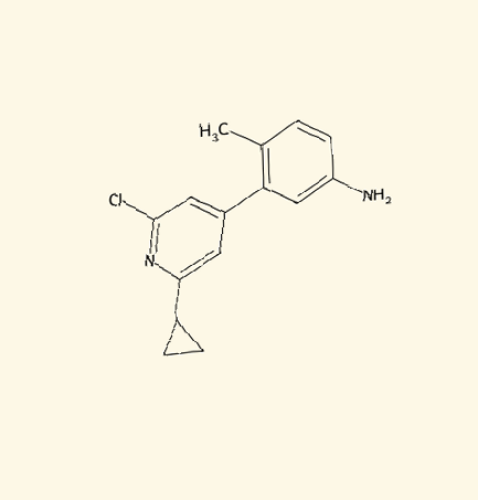 Cc1ccc(N)cc1-c1cc(Cl)nc(C2CC2)c1